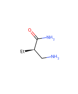 CC[C@H](CN)C(N)=O